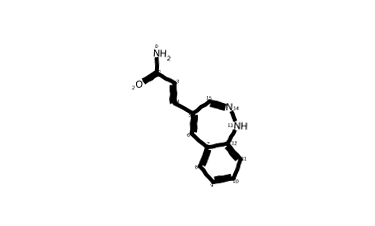 NC(=O)C=CC1=Cc2ccccc2NN=C1